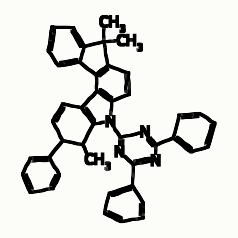 CC1c2c(c3c4c(ccc3n2-c2nc(-c3ccccc3)nc(-c3ccccc3)n2)C(C)(C)c2ccccc2-4)C=CC1c1ccccc1